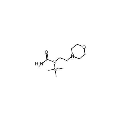 C[N+](C)(C)N(CCN1CCOCC1)C(N)=O